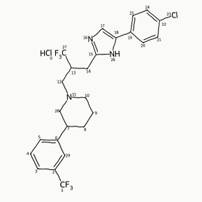 Cl.FC(F)(F)c1cccc(C2CCCN(CC(Cc3ncc(-c4ccc(Cl)cc4)[nH]3)C(F)(F)F)C2)c1